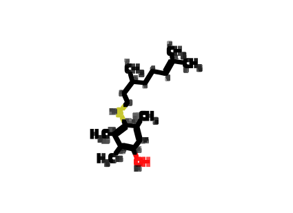 CC(C)=CCCC(C)CCSc1c(C)cc(O)c(C)c1C